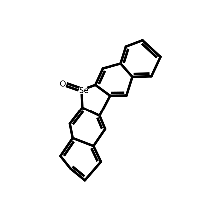 O=[Se]1c2cc3ccccc3cc2-c2cc3ccccc3cc21